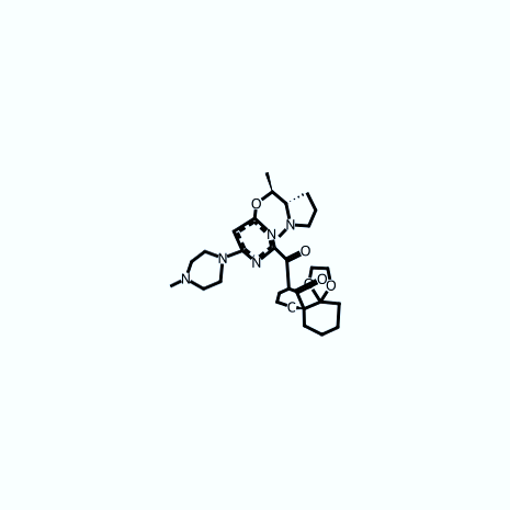 C[C@H](Oc1cc(N2CCN(C)CC2)nc(C(=O)C2CCC[C@@]3(CCCCC34OCCO4)C2=O)n1)[C@@H]1CCCN1C